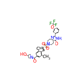 Cc1cc(C(=O)N2CC(O)C2)cc(C)c1/C=C/S(=O)(=O)N1CCC2(CC1)N=C(c1cccc(OC(F)(F)F)c1)NC2=O